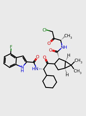 C[C@H](NC(=O)[C@H]1C(C(=O)[C@@H](NC(=O)c2cc3c(F)cccc3[nH]2)C2CCCCC2)C[C@H]2[C@@H]1C2(C)C)C(=O)CCl